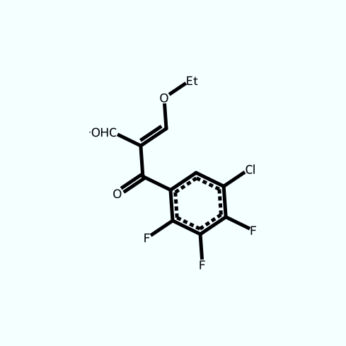 CCOC=C([C]=O)C(=O)c1cc(Cl)c(F)c(F)c1F